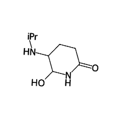 CC(C)NC1CCC(=O)NC1O